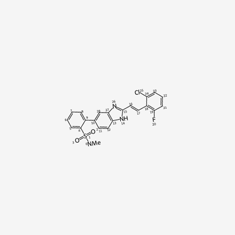 CNS(=O)(=O)c1ccccc1-c1ccc2[nH]c(C=Cc3c(F)cccc3Cl)nc2c1